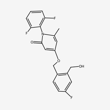 Cc1cc(OCc2ccc(F)cc2CO)cc(=O)n1-c1c(F)cccc1F